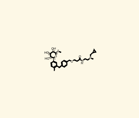 CS[C@H]1O[C@@H](c2ccc(C)c(Cc3ccc(COCCC(=O)NCCN(C)CC4CC4)cc3)c2)[C@H](O)[C@@H](O)[C@@H]1O